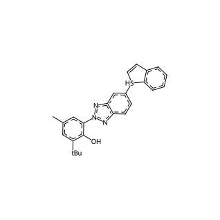 Cc1cc(-n2nc3ccc([SH]4C=Cc5ccccc54)cc3n2)c(O)c(C(C)(C)C)c1